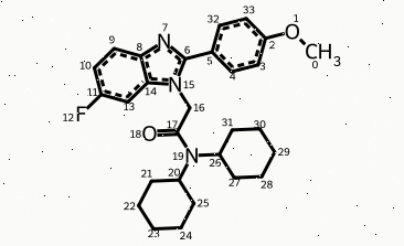 COc1ccc(-c2nc3ccc(F)cc3n2CC(=O)N(C2CCCCC2)C2CCCCC2)cc1